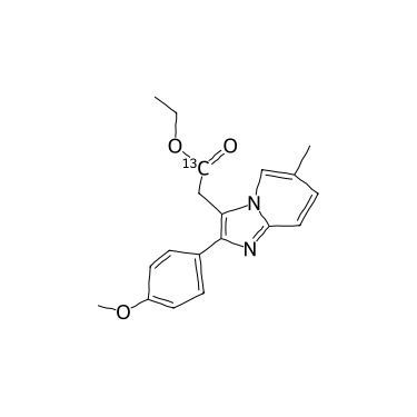 CCO[13C](=O)Cc1c(-c2ccc(OC)cc2)nc2ccc(C)cn12